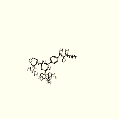 CCCNC(=O)Nc1ccc(-c2nc(N3CCOC[C@@H]3C)cc(C(C)(C)S(=O)(=O)C(C)C)n2)cc1